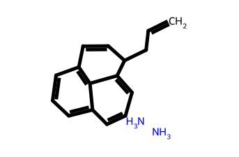 C=CCC1C=Cc2cccc3cccc1c23.N.N